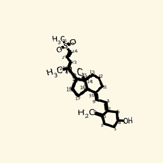 C=C1CCC(O)C/C1=C/C=C1\CCCC2(C)C1CCC2C(C)C/C=C/S(C)(=O)=O